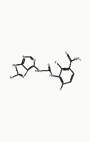 NC(=O)c1ccc(F)c(NC(=O)Nc2ncnc3[nH]c(Br)nc23)c1F